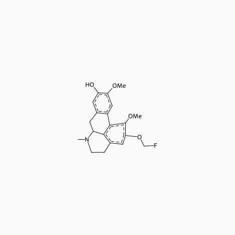 COc1cc2c(cc1O)CC1c3c(cc(OCF)c(OC)c3-2)CCN1C